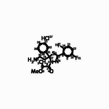 CO[C@@H](C)C(=O)N1N=C(c2cc(F)ccc2F)SC1(CCN)c1ccccc1.Cl